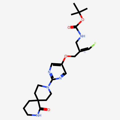 CC(C)(C)OC(=O)NC/C(=C\F)COc1cnc(N2CCC3(CCCNC3=O)CC2)nc1